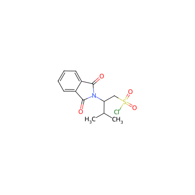 CC(C)C(CS(=O)(=O)Cl)N1C(=O)c2ccccc2C1=O